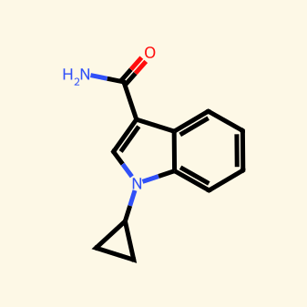 NC(=O)c1cn(C2CC2)c2ccccc12